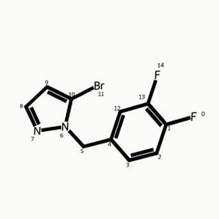 Fc1ccc(Cn2nccc2Br)cc1F